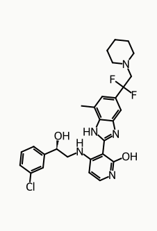 Cc1cc(C(F)(F)CN2CCCCC2)cc2nc(-c3c(NC[C@H](O)c4cccc(Cl)c4)ccnc3O)[nH]c12